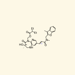 CCC(CC)C(=O)OCN1C(=O)[C@](C)(O)CNc2cc(/C=C/C(=O)N(C)Cc3oc4ccccc4c3C)cnc21